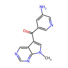 Cn1cc(C(=O)c2cncc(N)c2)c2cncnc21